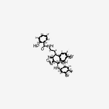 O=C(NCCC(c1ccc(Br)cc1)c1nonc1C(=NO)Nc1ccc(F)c(Br)c1)c1ccccc1O